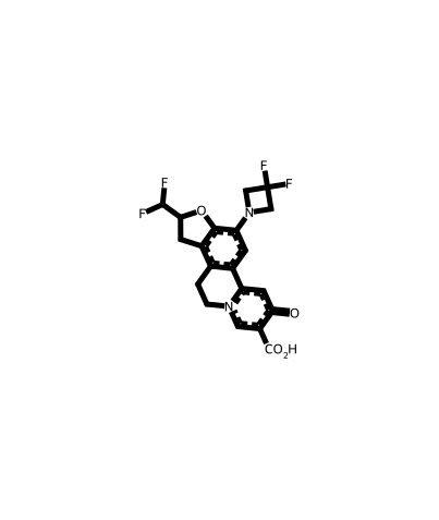 O=C(O)c1cn2c(cc1=O)-c1cc(N3CC(F)(F)C3)c3c(c1CC2)CC(C(F)F)O3